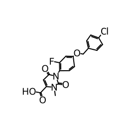 Cn1c(C(=O)O)cc(=O)n(-c2ccc(OCc3ccc(Cl)cc3)cc2F)c1=O